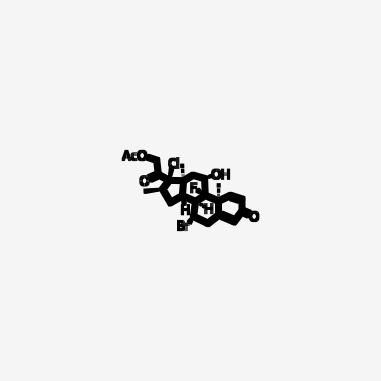 CC(=O)OCC(=O)[C@@]1(Cl)[C@H](C)C[C@H]2[C@@H]3[C@H](Br)CC4=CC(=O)C=C[C@]4(C)[C@@]3(F)[C@@H](O)C[C@@]21C